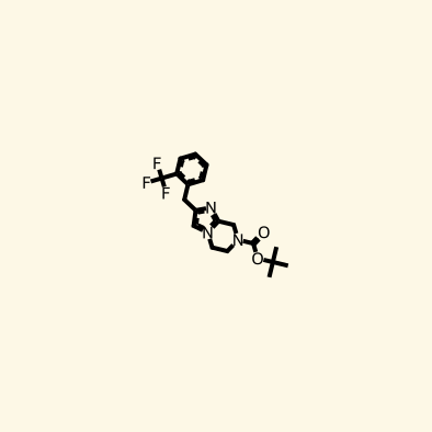 CC(C)(C)OC(=O)N1CCn2cc(Cc3ccccc3C(F)(F)F)nc2C1